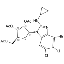 CC(=O)OC[C@@H]1O[C@H](n2c(NC3CC3)nc3c(Br)c(Cl)c(Cl)cc32)[C@@H](OC(C)=O)[C@H]1OC(C)=O